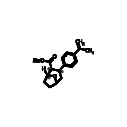 C=C(C)c1ccc([C@H]2CC3CC[C@@H](O3)[C@H]2C(=O)OC)cc1